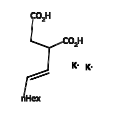 CCCCCCC=CC(CC(=O)O)C(=O)O.[K].[K]